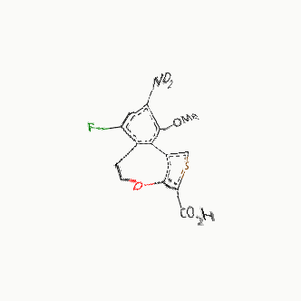 COc1c([N+](=O)[O-])cc(F)c2c1-c1csc(C(=O)O)c1OCC2